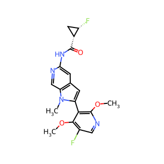 COc1ncc(F)c(OC)c1-c1cc2cc(NC(=O)[C@@H]3C[C@@H]3F)ncc2n1C